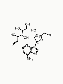 Nc1ncnc2c1ncn2[C@H]1C[C@H](O)[C@@H](CO)O1.O=CC(O)C(O)C(O)CO